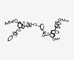 COc1cc(OCc2csc(C3CCCC(COc4nn5cc(-c6cc7c(OCc8csc(N9CCCCC9)n8)cc(OC)cc7o6)nc5s4)C3)n2)c2cc(-c3cn4nc(OC)sc4n3)oc2c1